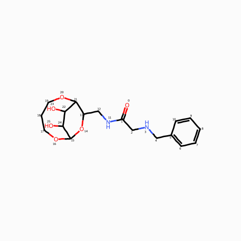 O=C(CNCc1ccccc1)NCC1OC2OCCCOC1C(O)C2O